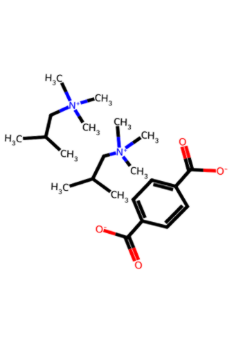 CC(C)C[N+](C)(C)C.CC(C)C[N+](C)(C)C.O=C([O-])c1ccc(C(=O)[O-])cc1